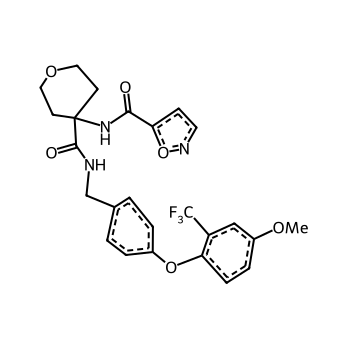 COc1ccc(Oc2ccc(CNC(=O)C3(NC(=O)c4ccno4)CCOCC3)cc2)c(C(F)(F)F)c1